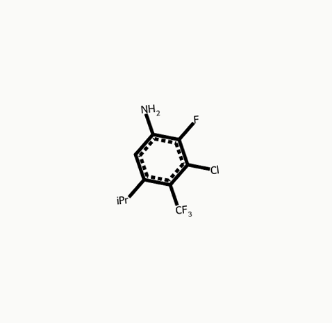 CC(C)c1cc(N)c(F)c(Cl)c1C(F)(F)F